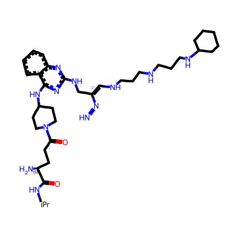 CC(C)NC(=O)[C@@H](N)CCC(=O)N1CCC(Nc2nc(NC/C(=C/NCCCNCCCNC3CCCCC3)N=N)nc3ccccc23)CC1